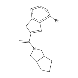 C=C(C1=Cc2c(CC)cccc2C1)N1CC2CCCC2C1